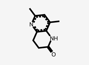 Cc1cc(C)c2c(n1)CCC(=O)N2